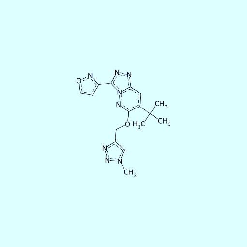 Cn1cc(COc2nn3c(-c4ccon4)nnc3cc2C(C)(C)C)nn1